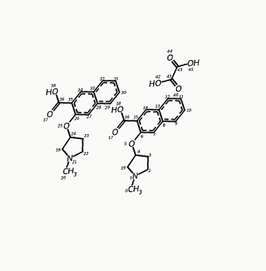 CN1CCC(Oc2cc3ccccc3cc2C(=O)O)C1.CN1CCC(Oc2cc3ccccc3cc2C(=O)O)C1.O=C(O)C(=O)O